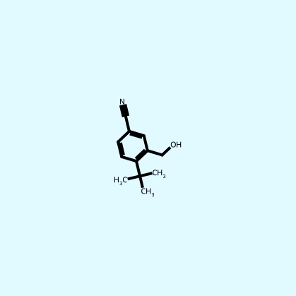 CC(C)(C)c1ccc(C#N)cc1[CH]O